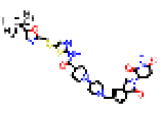 CC(C)(C)c1cnc(CSc2cnc(NC(=O)C3CCN(C4CCN(Cc5ccc6c(c5)CN(C5CCC(=O)NC5=O)C6=O)CC4)CC3)s2)o1